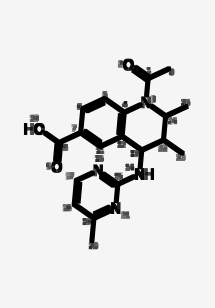 CC(=O)N1c2ccc(C(=O)O)cc2C(Nc2nccc(C)n2)C(C)C1C